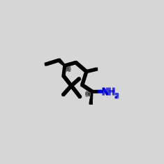 CC[C@@H](CC(C)C[C@H](C)N)CC(C)(C)C